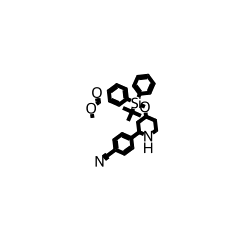 CC(C)(C)[Si](OC1CCNC(c2ccc(C#N)cc2)C1)(c1ccccc1)c1ccccc1.COC=O